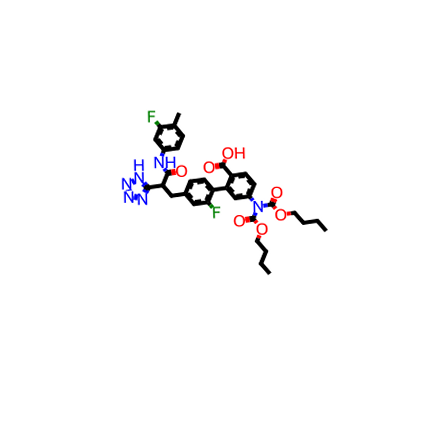 CCCCOC(=O)N(C(=O)OCCCC)c1ccc(C(=O)O)c(-c2ccc(CC(C(=O)Nc3ccc(C)c(F)c3)c3nnn[nH]3)cc2F)c1